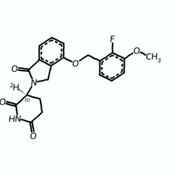 [2H][C@]1(N2Cc3c(OCc4cccc(OC)c4F)cccc3C2=O)CCC(=O)NC1=O